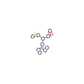 c1ccc2c(N(c3ccc(-c4cc(-c5ccc6oc7ccccc7c6c5)cc(-c5ccc6sc7ccccc7c6c5)c4)cc3)c3cccc4ccccc34)cccc2c1